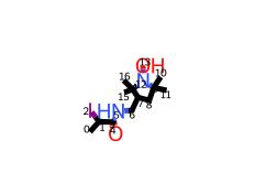 CC(I)C(=O)NCC1CC(C)(C)N(O)C1(C)C